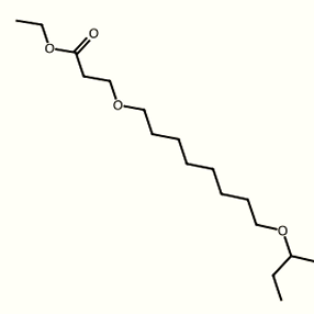 CCOC(=O)CCOCCCCCCCCOC(C)CC